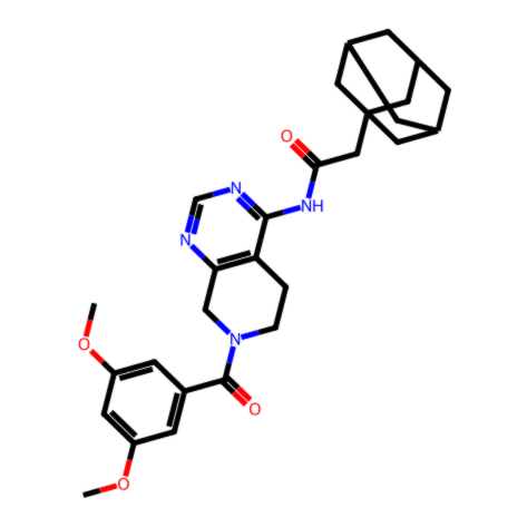 COc1cc(OC)cc(C(=O)N2CCc3c(ncnc3NC(=O)CC34CC5CC(CC(C5)C3)C4)C2)c1